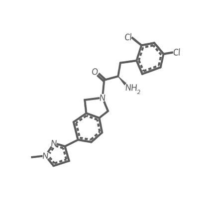 Cn1ccc(-c2ccc3c(c2)CN(C(=O)[C@H](N)Cc2ccc(Cl)cc2Cl)C3)n1